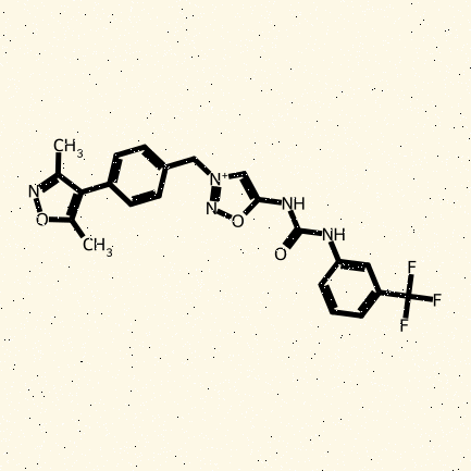 Cc1noc(C)c1-c1ccc(C[n+]2cc(NC(=O)Nc3cccc(C(F)(F)F)c3)on2)cc1